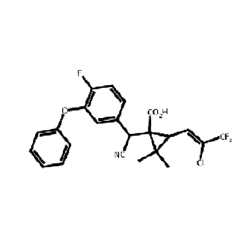 CC1(C)C(C=C(Cl)C(F)(F)F)C1(C(=O)O)C(C#N)c1ccc(F)c(Oc2ccccc2)c1